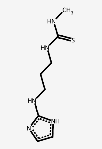 CNC(=S)NCCCNc1ncc[nH]1